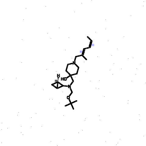 C/C=C\C=C(/C)CN1CCC(O)(CN(COC(C)(C)C)C2C3C[C@H]32)CC1